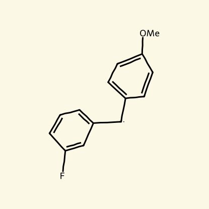 COc1ccc([CH]c2cccc(F)c2)cc1